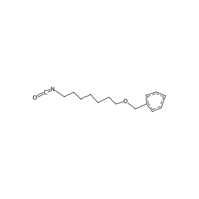 O=C=NCCCCCCCOCc1ccccc1